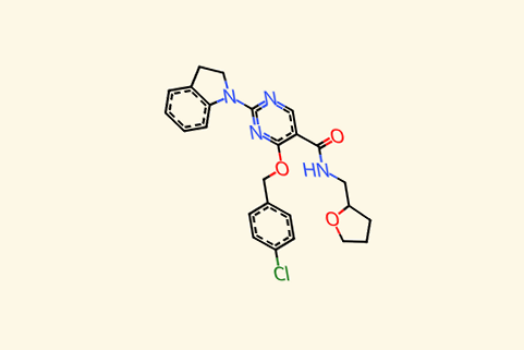 O=C(NCC1CCCO1)c1cnc(N2CCc3ccccc32)nc1OCc1ccc(Cl)cc1